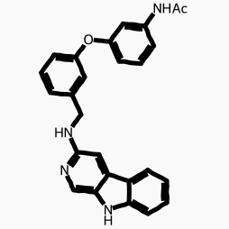 CC(=O)Nc1cccc(Oc2cccc(CNc3cc4c(cn3)[nH]c3ccccc34)c2)c1